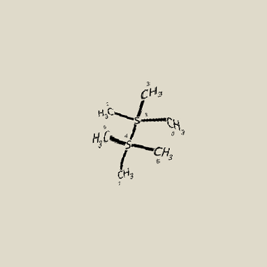 CS(C)(C)S(C)(C)C